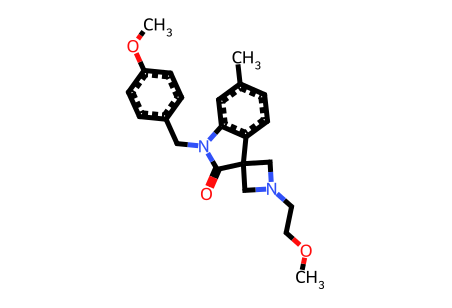 COCCN1CC2(C1)C(=O)N(Cc1ccc(OC)cc1)c1cc(C)ccc12